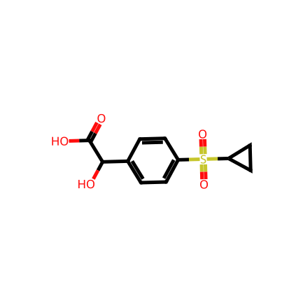 O=C(O)C(O)c1ccc(S(=O)(=O)C2CC2)cc1